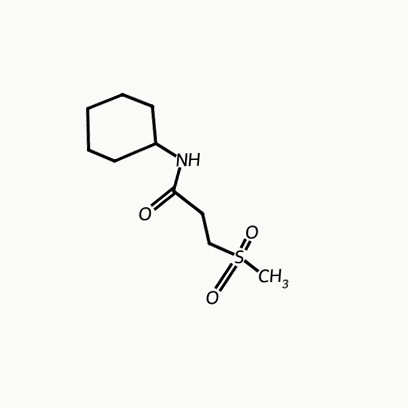 CS(=O)(=O)CCC(=O)NC1CCCCC1